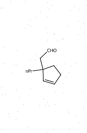 CCCC1(CC=O)C=CCC1